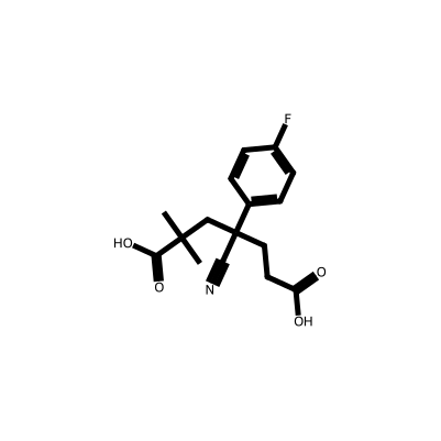 CC(C)(CC(C#N)(CCC(=O)O)c1ccc(F)cc1)C(=O)O